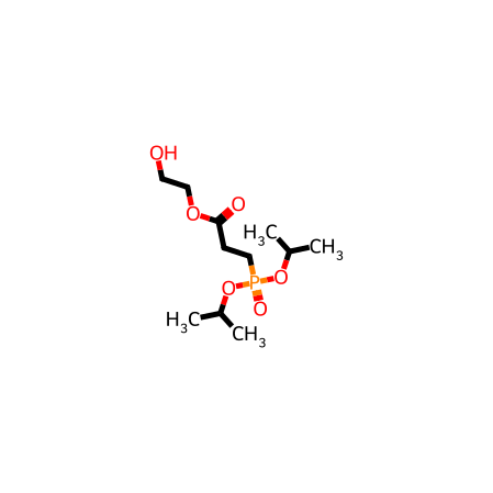 CC(C)OP(=O)(CCC(=O)OCCO)OC(C)C